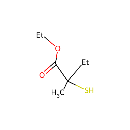 CCOC(=O)C(C)(S)CC